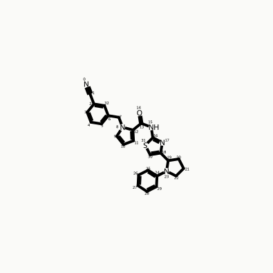 N#Cc1cccc(Cn2cccc2C(=O)Nc2nc(C3CCCN3c3ccccc3)cs2)c1